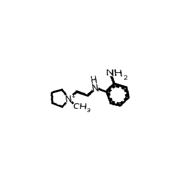 C[N+]1(CCNc2ccccc2N)CCCC1